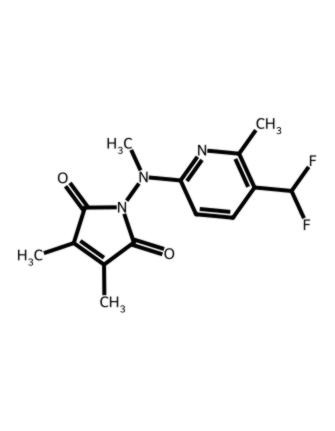 CC1=C(C)C(=O)N(N(C)c2ccc(C(F)F)c(C)n2)C1=O